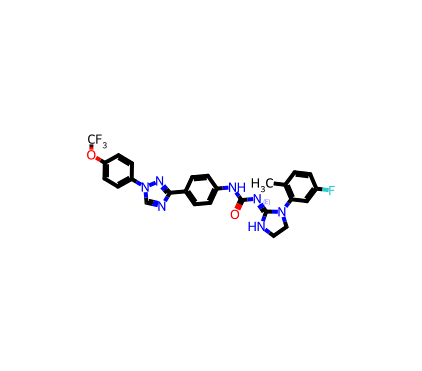 Cc1ccc(F)cc1N1CCN/C1=N\C(=O)Nc1ccc(-c2ncn(-c3ccc(OC(F)(F)F)cc3)n2)cc1